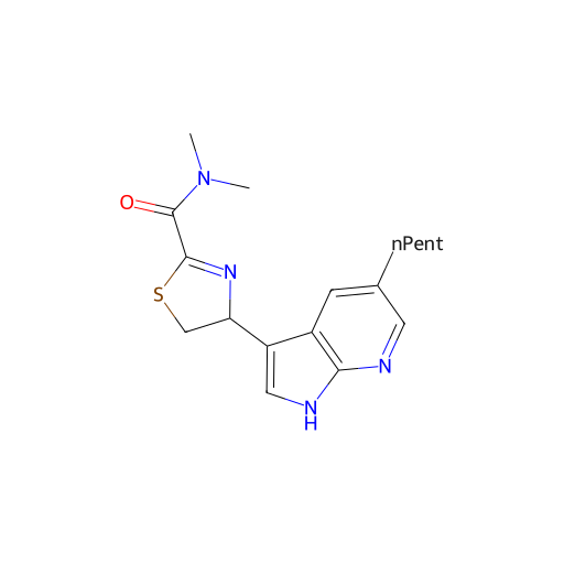 CCCCCc1cnc2[nH]cc(C3CSC(C(=O)N(C)C)=N3)c2c1